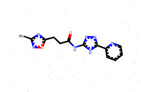 CC(C)(C)c1noc(CCC(=O)Nc2nnc(-c3ccccn3)[nH]2)n1